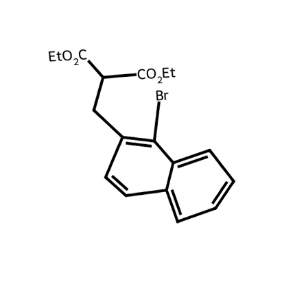 CCOC(=O)C(Cc1ccc2ccccc2c1Br)C(=O)OCC